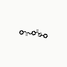 c1ccc(CNCCc2ccc(Nc3nc(-c4ccccc4)cs3)cc2)cc1